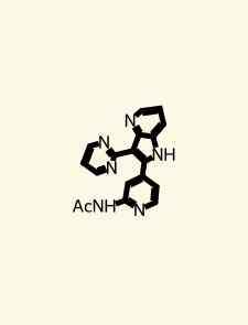 CC(=O)Nc1cc(-c2[nH]c3cccnc3c2-c2ncccn2)ccn1